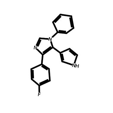 Fc1ccc(-c2ncn(-c3ccccc3)c2-c2cc[nH]c2)cc1